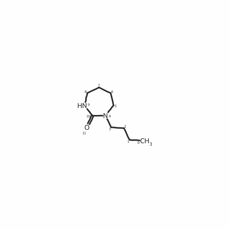 CCCCN1CCCCNC1=O